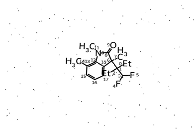 CCC(CC)([C](F)F)C1(C)C(=O)N(C)c2c(C)cccc21